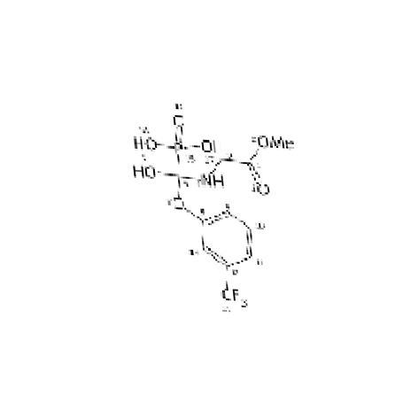 COC(=O)CNC(O)(Oc1cccc(C(F)(F)F)c1)P(=O)(O)O